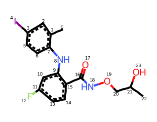 Cc1cc(I)ccc1Nc1cc(F)ccc1C(=O)NOCC(C)O